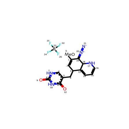 COC1=CC(Cc2c[nH]c(=O)[nH]c2=O)C2=CC=CNC2C1=[N+]=[N-].F[B-](F)(F)F